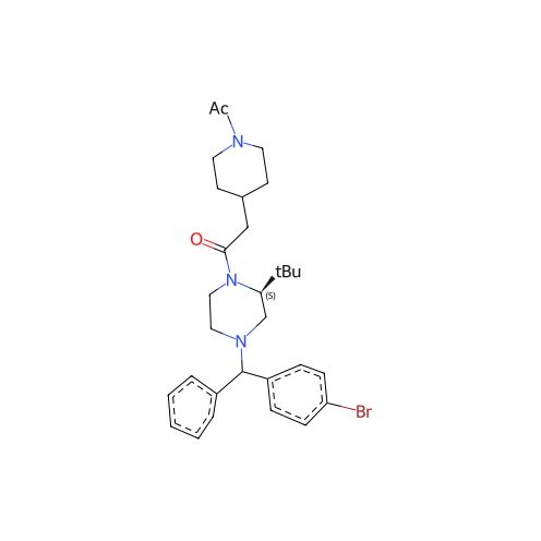 CC(=O)N1CCC(CC(=O)N2CCN(C(c3ccccc3)c3ccc(Br)cc3)C[C@@H]2C(C)(C)C)CC1